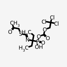 CCC(CC)(N=CSCC(C)=O)P(=O)(O)OC(=O)OCC(Cl)(Cl)Cl